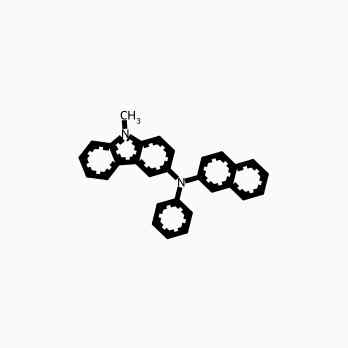 Cn1c2ccccc2c2cc(N(c3ccccc3)c3ccc4ccccc4c3)ccc21